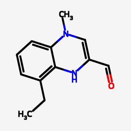 CCc1cccc2c1NC(C=O)=CN2C